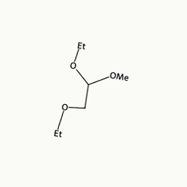 CCOCC(OC)OCC